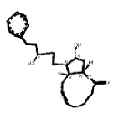 O=C1CCC/C=C\C[C@H]2[C@@H](C1)C[C@@H](O)[C@@H]2CC[C@@H](O)CCc1ccccc1